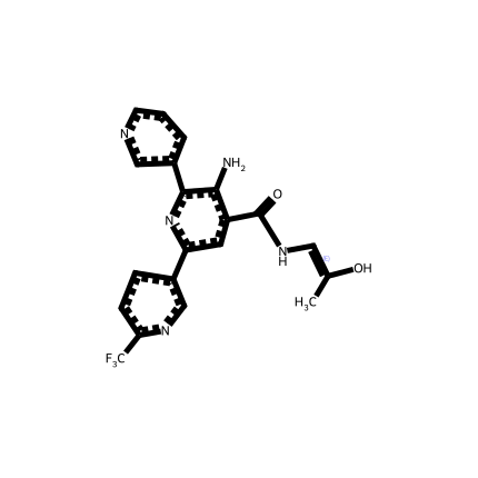 C/C(O)=C\NC(=O)c1cc(-c2ccc(C(F)(F)F)nc2)nc(-c2cccnc2)c1N